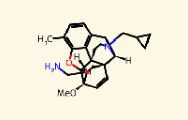 CO[C@]12C=C[C@@]3(C[C@H]1CN)[C@H]1Cc4ccc(C)c5c4[C@@]3(CCN1CC1CC1)[C@H]2O5